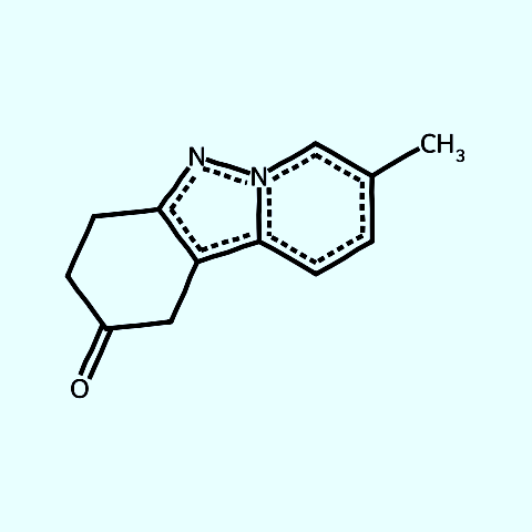 Cc1ccc2c3c(nn2c1)CCC(=O)C3